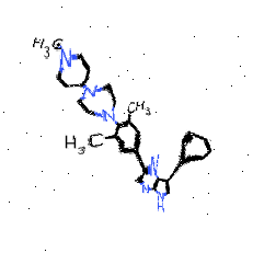 Cc1cc(-c2cnc3[nH]cc(-c4cc[c]cc4)c3n2)cc(C)c1N1CCN(C2CCN(C)CC2)CC1